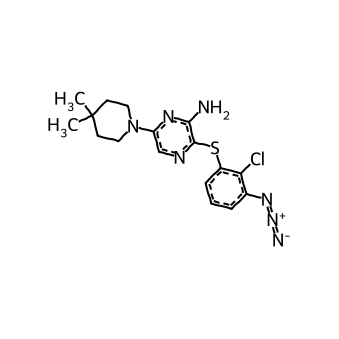 CC1(C)CCN(c2cnc(Sc3cccc(N=[N+]=[N-])c3Cl)c(N)n2)CC1